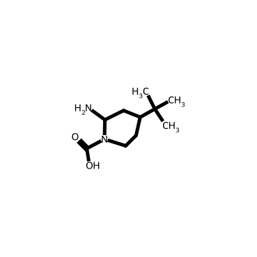 CC(C)(C)C1CCN(C(=O)O)C(N)C1